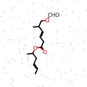 CC=CCC(C)OC(=O)CC=CC(C)CO[C]=O